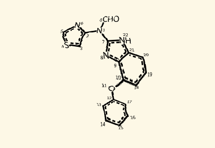 O=CN(c1cscn1)c1nc2c(Oc3ccccc3)cccc2[nH]1